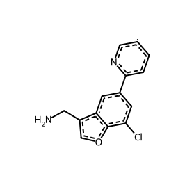 NCc1coc2c(Cl)cc(-c3cc[c]cn3)cc12